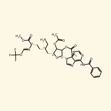 COC(=O)[C@H](CC[C@H](CN)C[C@H]1O[C@@H](n2cnc3c(NC(=O)c4ccccc4)ncnc32)C(OC(C)=O)C1OC(C)=O)N=COC(F)(F)F